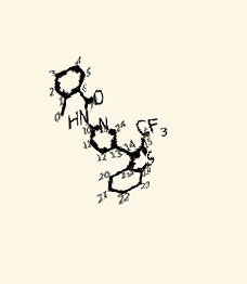 Cc1ccccc1C(=O)Nc1ccc(-c2c(C(F)(F)F)sc3c2CCCC3)cn1